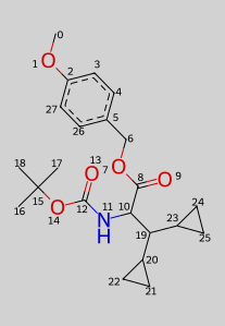 COc1ccc(COC(=O)C(NC(=O)OC(C)(C)C)C(C2CC2)C2CC2)cc1